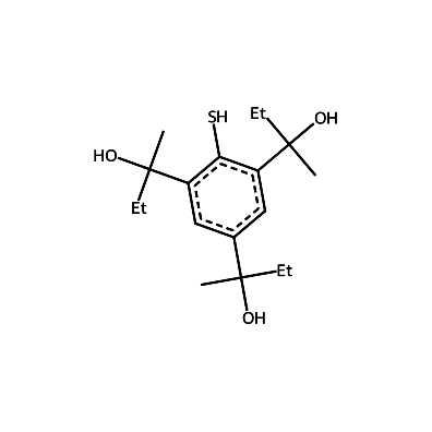 CCC(C)(O)c1cc(C(C)(O)CC)c(S)c(C(C)(O)CC)c1